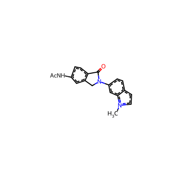 CC(=O)Nc1ccc2c(c1)CN(c1ccc3ccn(C)c3c1)C2=O